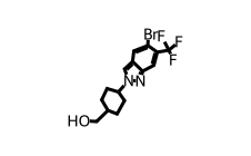 OCC1CCC(n2cc3cc(Br)c(C(F)(F)F)cc3n2)CC1